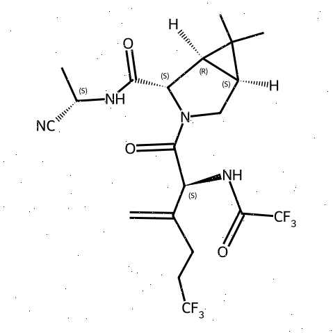 C=C(CCC(F)(F)F)[C@H](NC(=O)C(F)(F)F)C(=O)N1C[C@H]2[C@@H]([C@H]1C(=O)N[C@@H](C)C#N)C2(C)C